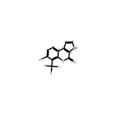 O=c1oc2c(C(F)(F)F)c(F)ccc2c2cc[nH]c12